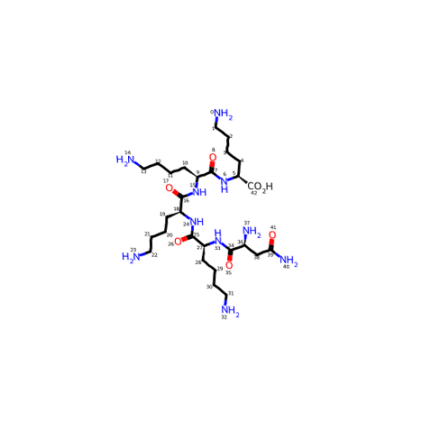 NCCCC[C@H](NC(=O)[C@H](CCCCN)NC(=O)[C@H](CCCCN)NC(=O)[C@H](CCCCN)NC(=O)[C@@H](N)CC(N)=O)C(=O)O